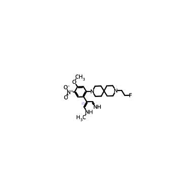 CN/C=C(\C=N)c1cc([N+](=O)[O-])c(OC)cc1N1CCC2(CCN(CCF)CC2)CC1